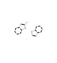 CC(C)C1=Cc2ccccc2[CH]1[Hf+2][CH]1C=Cc2ccccc21.[Cl-].[Cl-]